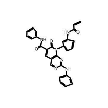 C=CC(=O)Nc1cccc(-n2c(=O)c(C(=O)Nc3ccccc3)cc3cnc(Nc4ccccc4)nc32)c1